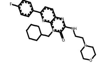 O=c1c(NCCN2CCOCC2)nc2ccc(-c3ccc(F)cc3)nc2n1CC1CCCCC1